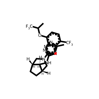 Cc1nnc(N2C[C@H]3CC[C@@H](C2)[C@@H]3Nc2nc3c(OC(C)C(F)(F)F)ccc(C(F)(F)F)n3n2)o1